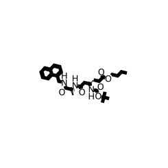 CCCCOC(=O)CC[C@@H](CC(=O)N[C@@H](C)C(=O)NCc1cccc2ccccc12)NC(=O)OC(C)(C)C